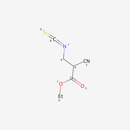 CCOC(=O)C(C#N)CN=C=S